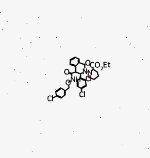 CCOC(=O)C1CCCCN1N1C(=O)c2ccccc2C(C(=O)NOCc2ccc(Cl)cc2)C1c1ccc(Cl)cc1Cl